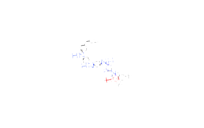 C=C(/C=C\C(=C/C)Nc1ccc(Nc2ccc(Nc3ccc(CC(C)CC(C)(C)C)cc3)cc2)cc1)N(Cc1cc(C(C)(C)C)cc(C(C)(C)C)c1O)C(C)CC(C)C